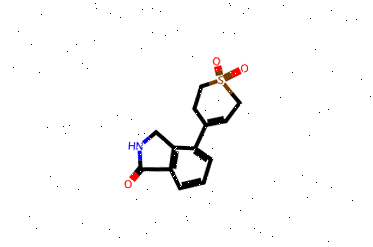 O=C1NCc2c1cccc2C1=CCS(=O)(=O)CC1